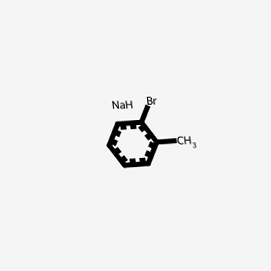 Cc1ccccc1Br.[NaH]